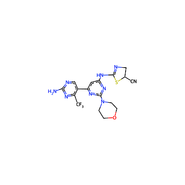 N#CC1CN=C(Nc2cc(-c3cnc(N)nc3C(F)(F)F)nc(N3CCOCC3)n2)S1